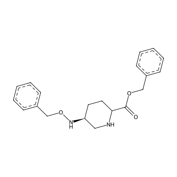 O=C(OCc1ccccc1)C1CC[C@H](NOCc2ccccc2)CN1